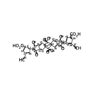 C#Cc1cc(C(=O)O)cc(N2C(=O)c3cc4c(cc3C2=O)S(=O)(=O)c2cc3c(cc2S4(=O)=O)C(=O)N(c2cc(C#C)cc(C(=O)O)c2)C3=O)c1